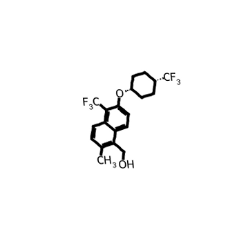 Cc1ccc2c(C(F)(F)F)c(O[C@H]3CC[C@@H](C(F)(F)F)CC3)ccc2c1CO